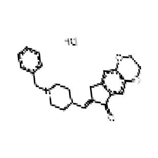 Cl.O=C1C(=CC2CCN(Cc3ccccc3)CC2)Cc2cc3c(cc21)OCCO3